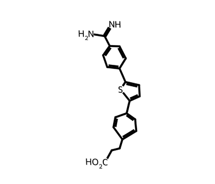 N=C(N)c1ccc(-c2ccc(-c3ccc(CCC(=O)O)cc3)s2)cc1